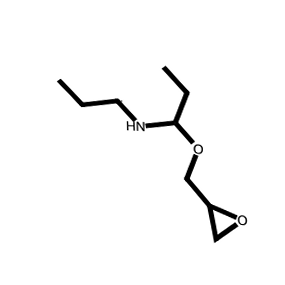 CC[CH]NC(CC)OCC1CO1